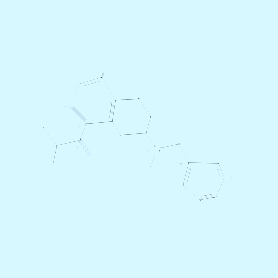 CC(C)C(=O)c1cccc2c1CC(N(C)Cc1ccccc1)CC2